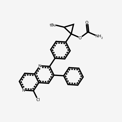 CC(C)(C)C1CC1(OC(N)=O)c1ccc(-c2nc3ccnc(Cl)c3cc2-c2ccccc2)cc1